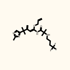 C=CCO/C(=C\C(=C)C(C)(C)c1cnc(C)s1)NC(=O)C(C)(C)NCCCC(F)(F)F